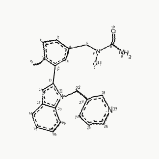 Cc1ccc(CN(O)C(N)=O)cc1-c1cc2ccccc2n1Cc1cccnc1